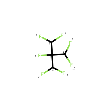 FC(F)C(F)(C(F)F)C(F)F